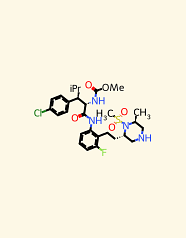 COC(=O)N[C@H](C(=O)Nc1cccc(F)c1CC[C@H]1CNC[C@H](C)N1S(C)(=O)=O)[C@@H](c1ccc(Cl)cc1)C(C)C